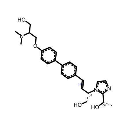 C[C@H](O)c1nccn1[C@@H](/C=C/c1ccc(-c2ccc(OCC(CO)N(C)C)cc2)cc1)CO